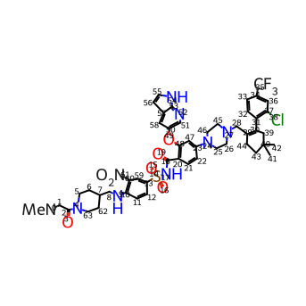 CNCC(=O)N1CCC(CNc2ccc(S(=O)(=O)NC(=O)c3ccc(N4CCN(CC5=C(c6ccc(C(F)(F)F)cc6Cl)CC(C)(C)CC5)CC4)cc3Oc3cnc4[nH]ccc4c3)cc2[N+](=O)[O-])CC1